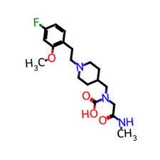 CNC(=O)CN(CC1CCN(CCc2ccc(F)cc2OC)CC1)C(=O)O